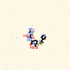 Nc1nc(C(=NO)C(=O)NC2C(=O)N3C(C(=O)O)=C(Sc4nc(-c5ccncc5)cs4)CCC23)ns1